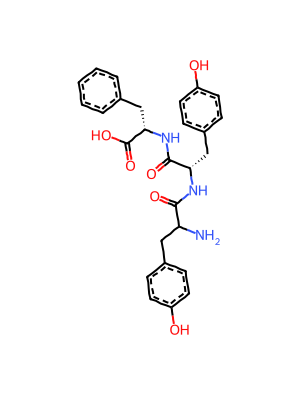 NC(Cc1ccc(O)cc1)C(=O)N[C@@H](Cc1ccc(O)cc1)C(=O)N[C@@H](Cc1ccccc1)C(=O)O